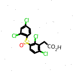 O=C(O)Cc1c(Cl)ccc([S+]([O-])c2ccc(Cl)cc2Cl)c1Cl